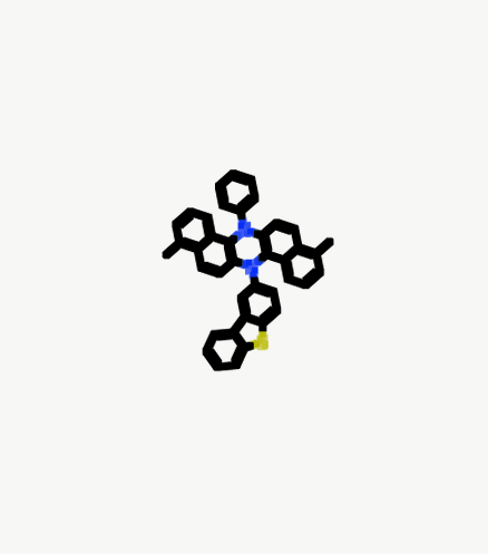 Cc1cccc2c3c(ccc12)N(c1ccc2sc4ccccc4c2c1)c1c(ccc2c(C)cccc12)N3c1ccccc1